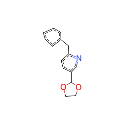 c1ccc(Cc2ccc(C3OCCO3)cn2)cc1